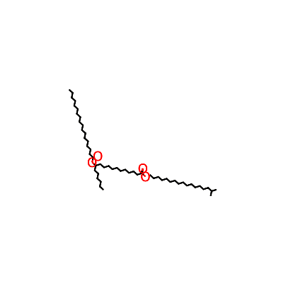 CCCCCCCCCCCCCCCCCC(=O)OC(CCCCCC)CCCCCCCCCCC(=O)OCCCCCCCCCCCCCCCC(C)C